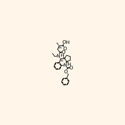 CCN(C(=O)C[C@@H](C)C(=O)O)[C@H]1c2ccccc2N(C(=O)OCc2ccccc2)[C@@H]2CCC[C@@H]21